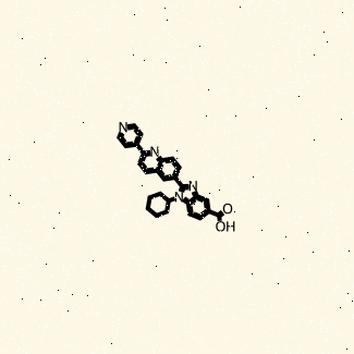 O=C(O)c1ccc2c(c1)nc(-c1ccc3nc(-c4ccncc4)ccc3c1)n2C1CCCCC1